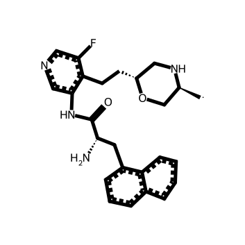 [CH2][C@H]1CO[C@H](CCc2c(F)cncc2NC(=O)[C@@H](N)Cc2cccc3ccccc23)CN1